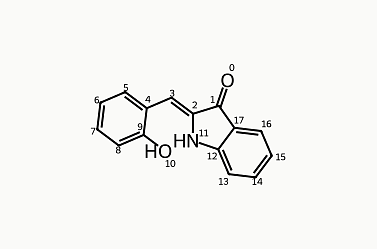 O=C1/C(=C/c2ccccc2O)Nc2ccccc21